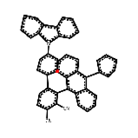 N#Cc1ccc(-c2ccc(-n3c4ccccc4c4ccccc43)cc2)c(-c2c3ccccc3c(-c3ccccc3)c3ccccc23)c1C#N